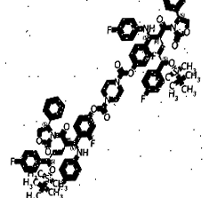 CC(C)(C)[Si](C)(C)O[C@@H](CC[C@@H](C(=O)N1C(=O)OC[C@@H]1c1ccccc1)[C@H](Nc1ccc(F)cc1)c1ccc(OC(=O)N2CCN(C(=O)Oc3ccc([C@@H](Nc4ccc(F)cc4)[C@@H](CC[C@H](O[Si](C)(C)C(C)(C)C)c4ccc(F)cc4)C(=O)N4C(=O)OC[C@@H]4c4ccccc4)c(F)c3)CC2)cc1F)c1ccc(F)cc1